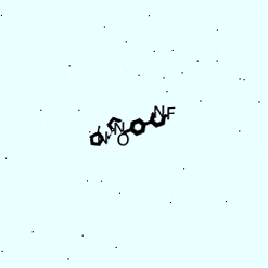 C[C@@H]1CCCN1C[C@@H]1CCCN1C(=O)c1ccc(-c2ccc(F)nc2)cc1